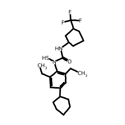 CCc1cc(C2CCCCC2)cc(CC)c1N(S)C(=O)NC1CCCC(C(F)(F)F)C1